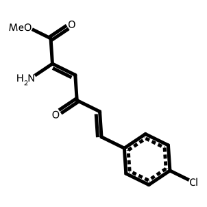 COC(=O)C(N)=CC(=O)C=Cc1ccc(Cl)cc1